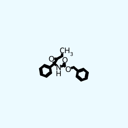 CCC1OC1(NC(=O)OCc1ccccc1)c1ccccc1